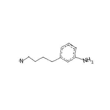 [N]CCCCc1cccc(N)c1